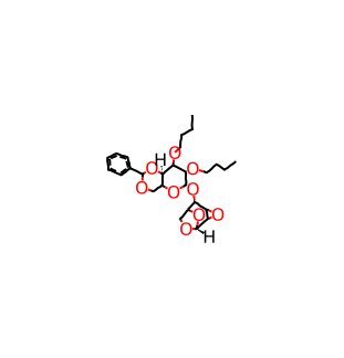 CCCCOC1C(OCCCC)[C@@H]2OC(c3ccccc3)OCC2O[C@H]1O[C@@H]1C2CO[C@H](O2)C2OC21